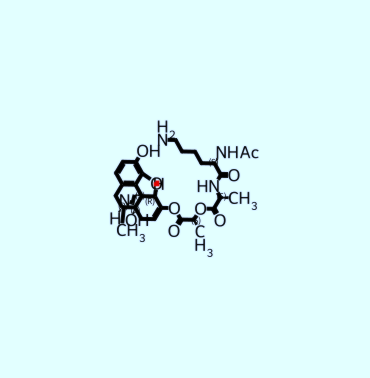 CC(=O)N[C@@H](CCCCN)C(=O)N[C@@H](C)C(=O)O[C@@H](C)C(=O)OC1=CC[C@@]2(O)[C@H]3Cc4ccc(O)c5c4[C@@]2(CCN3C)[C@H]1O5